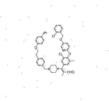 C/C(C=O)=C(/c1cc(C)c(Oc2ccc(OCc3ccccc3Cl)cn2)c(Cl)c1)N1CCN(Cc2ccc(CCOc3ccc(C(C)C)cc3)cc2)CC1